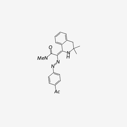 CNC(=O)C(/N=N/c1ccc(C(C)=O)cc1)=C1/NC(C)(C)Cc2ccccc21